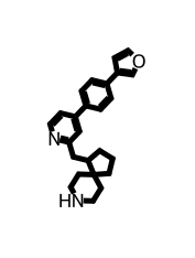 c1cc(-c2ccc(-c3ccoc3)cc2)cc(CC2CCCC23CCNCC3)n1